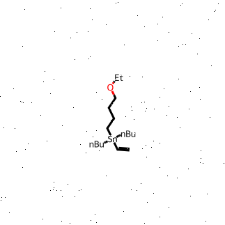 C=[CH][Sn]([CH2]CCC)([CH2]CCC)[CH2]CCCOCC